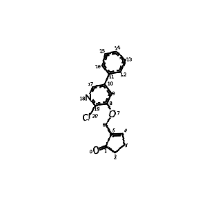 O=C1CCC=C1COc1cc(-c2ccccc2)cnc1Cl